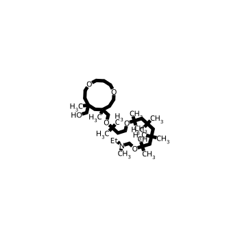 CCN(C)COC(C)(C)CC(C)(C)CC(C)(C)CC(C)(C)OCCC(C)(C)OCC1(C)CCOCCCOCCC(C)(CO)C1